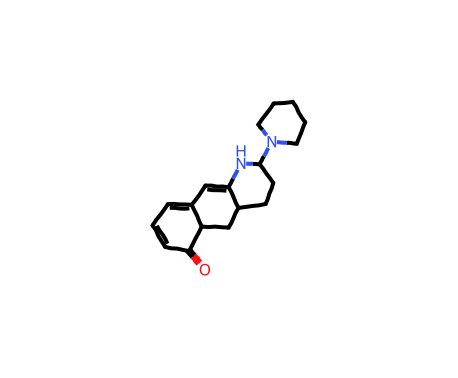 O=C1C=CC=C2C=C3NC(N4CCCCC4)CCC3CC12